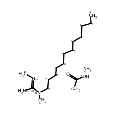 CC(=O)O.CCCCCCCCCCCCN(C)C(N)=NC.N